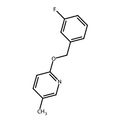 Cc1ccc(OCc2cccc(F)c2)nc1